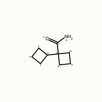 NC(=O)C1(C2CCC2)CCC1